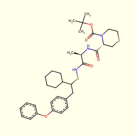 C[C@@H](NC(=O)[C@H]1CSCCN1C(=O)OC(C)(C)C)C(=O)NSC(Cc1ccc(Oc2ccccc2)cc1)C1CCCCC1